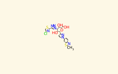 Cc1nc2ccc(-n3ccc([C@@H]4O[C@H](CO)[C@H](O)[C@H](n5cc(-c6nc(Cl)cs6)nn5)[C@H]4O)n3)cc2s1